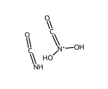 N=C=O.O=C=[N+](O)O